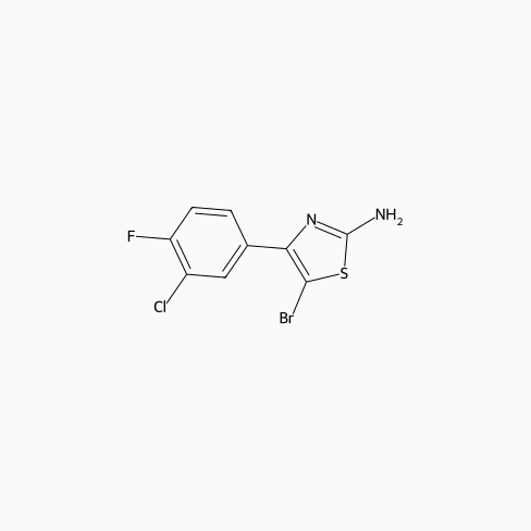 Nc1nc(-c2ccc(F)c(Cl)c2)c(Br)s1